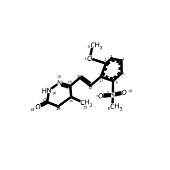 COc1cccc(S(C)(=O)=O)c1C=CC1=NNC(=O)CC1C